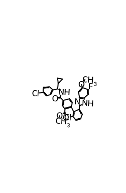 COC(=O)c1cc(C(=O)N[C@H](c2ccc(Cl)cc2)C2CC2)ccc1-c1c(Cl)cccc1-c1nc2cc(OC)c(F)cc2[nH]1